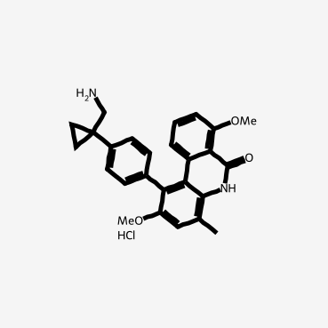 COc1cc(C)c2[nH]c(=O)c3c(OC)cccc3c2c1-c1ccc(C2(CN)CC2)cc1.Cl